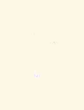 COc1cc([NH])ccc1Cl